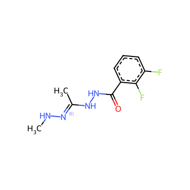 CN/N=C(\C)NNC(=O)c1cccc(F)c1F